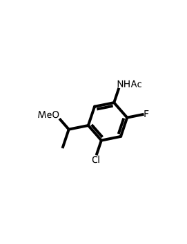 COC(C)c1cc(NC(C)=O)c(F)cc1Cl